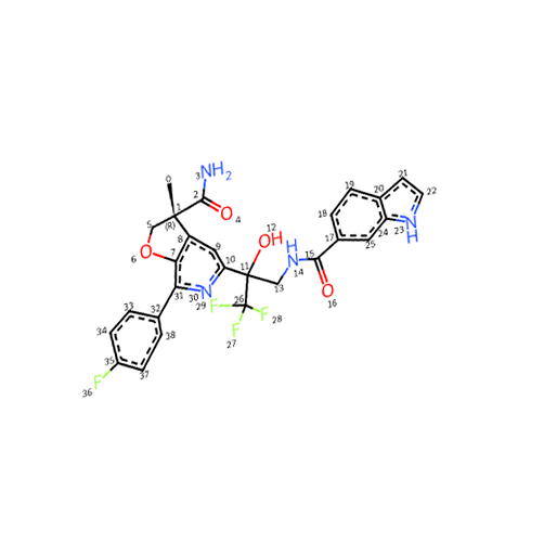 C[C@]1(C(N)=O)COc2c1cc(C(O)(CNC(=O)c1ccc3cc[nH]c3c1)C(F)(F)F)nc2-c1ccc(F)cc1